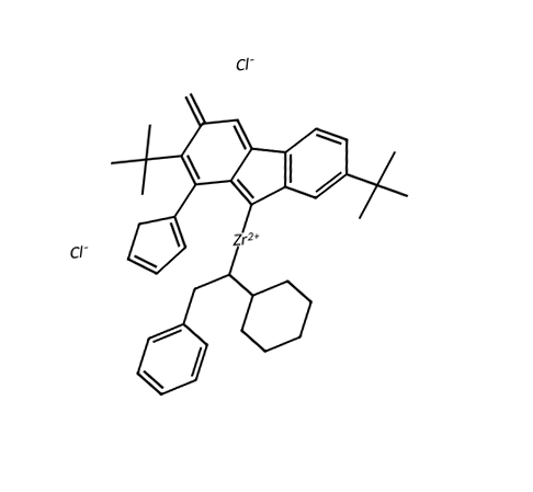 C=c1cc2c(c(C3=CC=CC3)c1C(C)(C)C)=[C]([Zr+2][CH](Cc1ccccc1)C1CCCCC1)c1cc(C(C)(C)C)ccc1-2.[Cl-].[Cl-]